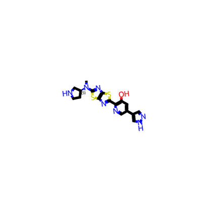 CN(c1nc2sc(-c3ncc(-c4cn[nH]c4)cc3O)nc2s1)[C@H]1CCNC1